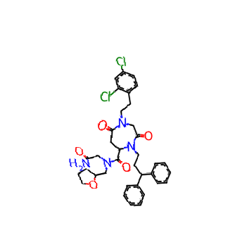 NC(=O)CN(CC1CCCO1)C(=O)C1CC(=O)N(CCc2ccc(Cl)cc2Cl)CC(=O)N1CCC(c1ccccc1)c1ccccc1